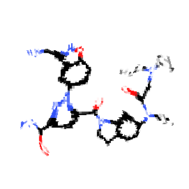 CN(C)CC(=O)N(C)c1ccc2c(c1)N(C(=O)c1cc(C(N)=O)nn1-c1ccc3onc(N)c3c1)CC2